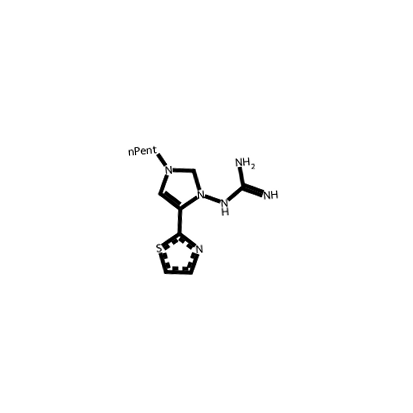 CCCCCN1C=C(c2nccs2)N(NC(=N)N)C1